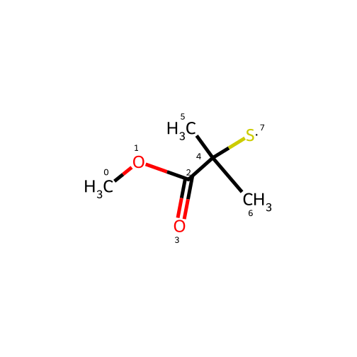 COC(=O)C(C)(C)[S]